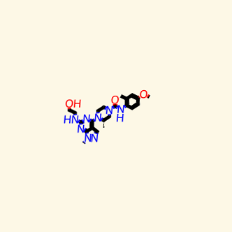 COc1ccc(NC(=O)N2CCN(c3nc(NCCO)nc4c3cnn4C)[C@@H](C)C2)c(C)c1